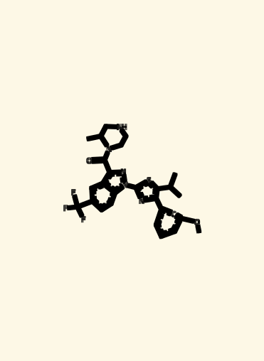 COc1cccc(-c2nc(-n3nc(C(=O)N4CCNCC4C)c4cc(C(F)(F)F)ccc43)sc2C(C)C)c1